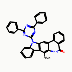 CNc1c2[nH]c(=O)c3ccccc3c2cc2c1c1ccccc1n2-c1nc(-c2ccccc2)nc(-c2ccccc2)n1